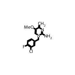 C=C1N=C(N)N(Cc2ccc(F)c(Cl)c2)C=C1OC